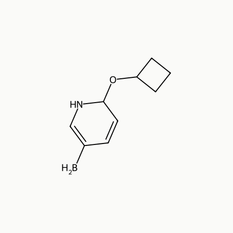 BC1=CNC(OC2CCC2)C=C1